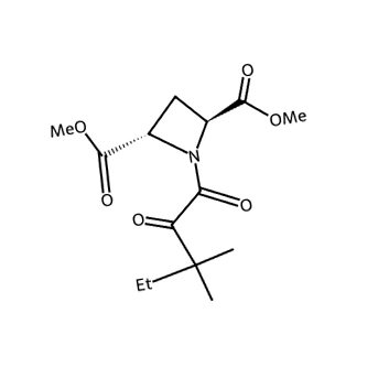 CCC(C)(C)C(=O)C(=O)N1[C@H](C(=O)OC)C[C@H]1C(=O)OC